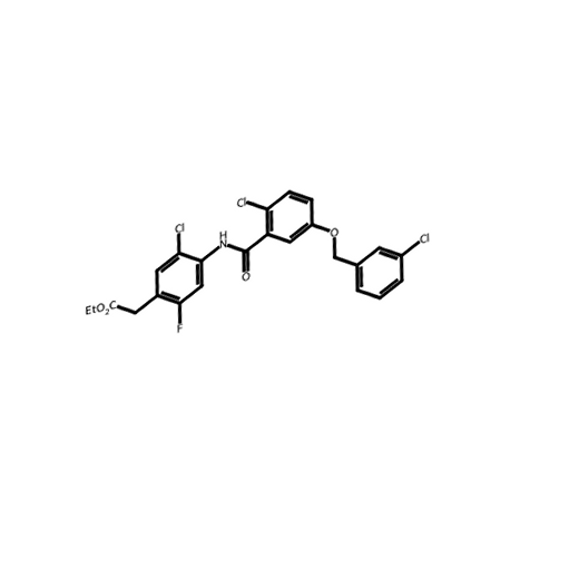 CCOC(=O)Cc1cc(Cl)c(NC(=O)c2cc(OCc3cccc(Cl)c3)ccc2Cl)cc1F